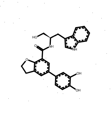 O=C(N[C@@H](CO)Cc1c[nH]c2ccccc12)c1cc(-c2ccc(O)c(O)c2)cc2c1OCC2